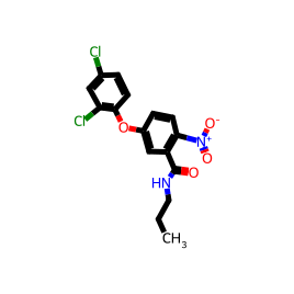 CCCNC(=O)c1cc(Oc2ccc(Cl)cc2Cl)ccc1[N+](=O)[O-]